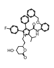 CC(C)c1c(C(=O)Nc2ccccc2OCc2ccccc2)c(-c2ccccc2)c(-c2ccc(F)cc2)n1CC[C@@H]1C[C@@H](O)CC(=O)O1